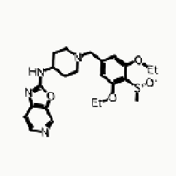 CCOc1cc(CN2CCC(Nc3nc4ccncc4o3)CC2)cc(OCC)c1[S+](C)[O-]